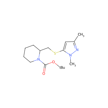 Cc1cc(SCC2CCCCN2C(=O)OC(C)(C)C)n(C)n1